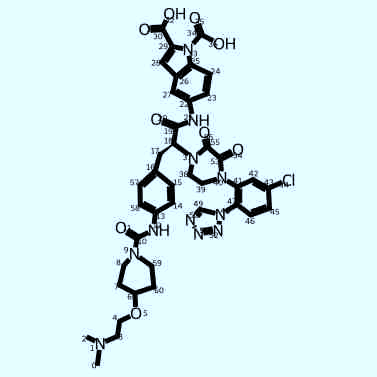 CN(C)CCOC1CCN(C(=O)Nc2ccc(C[C@@H](C(=O)Nc3ccc4c(c3)cc(C(=O)O)n4C(=O)O)N3CCN(c4cc(Cl)ccc4-n4cnnn4)C(=O)C3=O)cc2)CC1